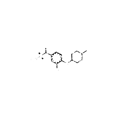 CC1CCC(Nc2ccc(C(C)S(N)(=O)=O)cc2Br)CC1